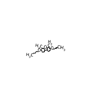 CC#CCOc1ccc2c(oc3c(C)c(OCCCCC)ccc32)c1C